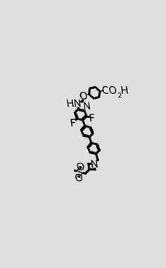 CS(=O)(=O)CC1CN(Cc2ccc(-c3ccc(-c4c(F)cc5[nH]c(O[C@H]6CC[C@H](C(=O)O)CC6)nc5c4F)cc3)cc2)C1